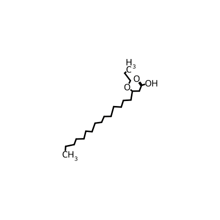 CCCCCCCCCCCCCCCC(CC(=O)O)OCCC